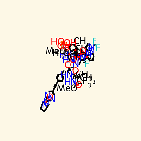 COC(=O)N[C@H](C(=O)N[C@@H](Cc1ccc(C#Cc2cnc(N3CC4CCC(C3)N4C3COC3)nc2)cc1)[C@H](CN(Cc1c(F)cc(-c2ccn(C(F)F)n2)cc1F)NC(=O)[C@@H](NC(=O)OC)C(C)(C)C(F)(F)F)OC(=O)CC(C)(C)c1c(CC(=O)Nc2ccccn2)cc(C)cc1OP(=O)(O)O)C(C)(C)C(F)(F)F